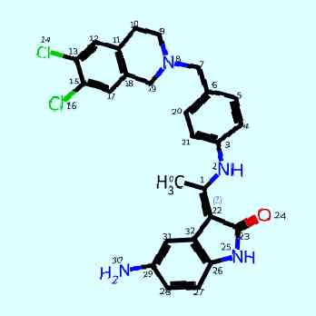 C/C(Nc1ccc(CN2CCc3cc(Cl)c(Cl)cc3C2)cc1)=C1/C(=O)Nc2ccc(N)cc21